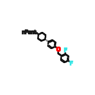 CCCCC[C@H]1CC[C@H](c2ccc(OCc3ccc(F)cc3F)cc2)CC1